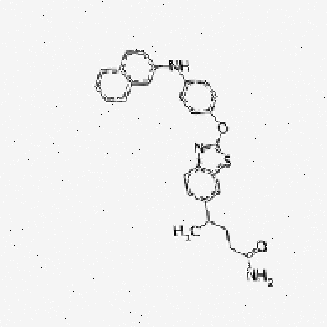 CC(CCC(N)=O)c1ccc2nc(Oc3ccc(Nc4ccc5ccccc5c4)cc3)sc2c1